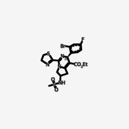 CCOC(=O)C1=C2CC(NS(C)(=O)=O)CN2C(C2=NCCS2)=N[C@H]1c1ccc(F)cc1Br